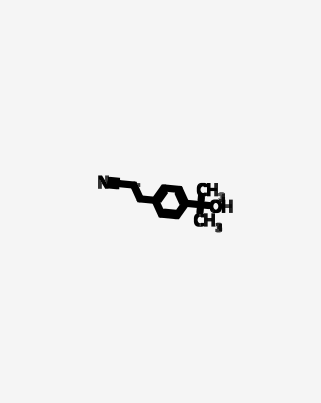 CC(C)(O)c1ccc(C[CH]C#N)cc1